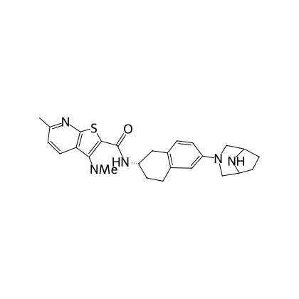 CNc1c(C(=O)N[C@H]2CCc3cc(N4CC5CCC(C4)N5)ccc3C2)sc2nc(C)ccc12